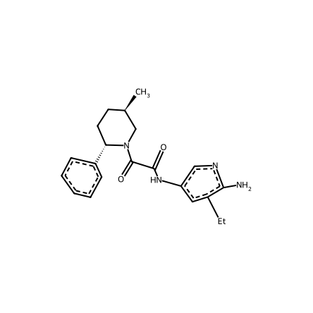 CCc1cc(NC(=O)C(=O)N2C[C@H](C)CC[C@H]2c2ccccc2)cnc1N